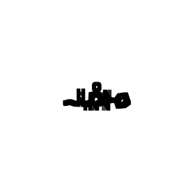 CCCNCc1cc(=O)n2nc(-c3ccccc3)nc2[nH]1